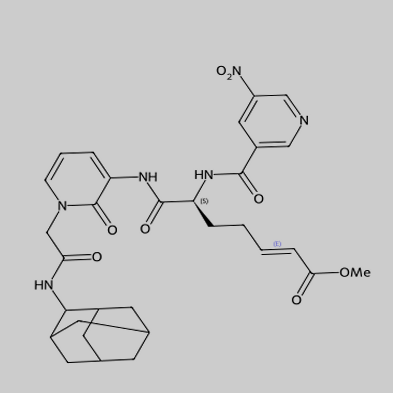 COC(=O)/C=C/CC[C@H](NC(=O)c1cncc([N+](=O)[O-])c1)C(=O)Nc1cccn(CC(=O)NC2C3CC4CC(C3)CC2C4)c1=O